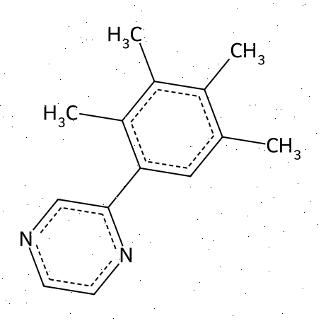 Cc1cc(-c2cnccn2)c(C)c(C)c1C